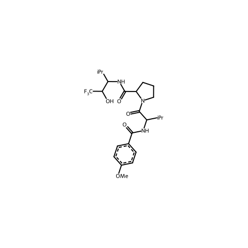 COc1ccc(C(=O)NC(C(=O)N2CCCC2C(=O)NC(C(C)C)C(O)C(F)(F)F)C(C)C)cc1